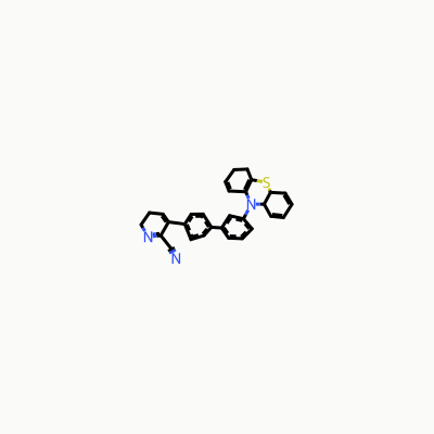 N#CC1=NCCC=C1c1ccc(-c2cccc(N3C4=C(CCC=C4)SC4C=CC=CC43)c2)cc1